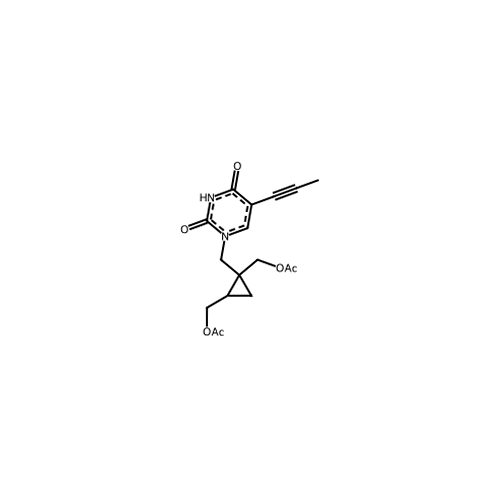 CC#Cc1cn(CC2(COC(C)=O)CC2COC(C)=O)c(=O)[nH]c1=O